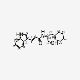 O=C(/C=C/c1c[nH]c2ncccc12)N[C@H](CO)CC1CCCCC1